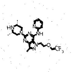 Cc1nn(CCOCC(F)(F)F)c2c(Nc3ccccn3)nc(N3C[C@@H](C)N[C@@H](C)C3)nc12